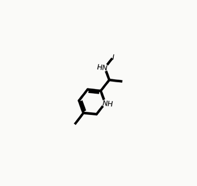 CC1=CC=C(C(C)NI)NC1